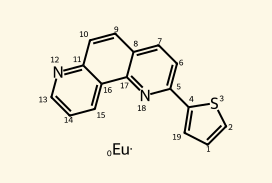 [Eu].c1csc(-c2ccc3ccc4ncccc4c3n2)c1